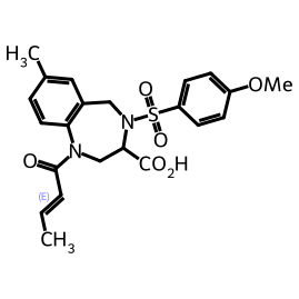 C/C=C/C(=O)N1CC(C(=O)O)N(S(=O)(=O)c2ccc(OC)cc2)Cc2cc(C)ccc21